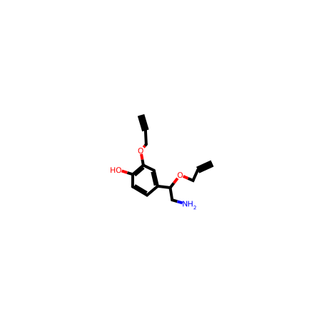 C#CCOc1cc(C(CN)OCC#C)ccc1O